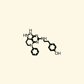 Oc1ccc(CCNc2nc3c4c(n2)N(c2ccccc2)CCC4NN3)cc1